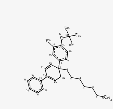 CCCCCCCC1(c2ccc(OC(F)(F)F)c(F)c2)C=CC(c2ccccc2)=CC1